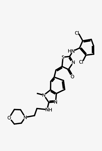 Cn1c(NCCN2CCOCC2)nc2ccc(C=C3SC(Nc4c(Cl)cccc4Cl)=NC3=O)cc21